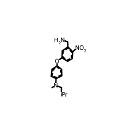 CC(C)CN(C)c1ccc(Oc2ccc([N+](=O)[O-])c(CN)c2)cc1